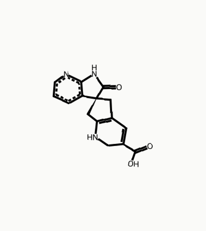 O=C(O)C1=CC2=C(C[C@]3(C2)C(=O)Nc2ncccc23)NC1